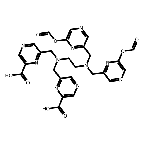 O=COc1cncc(CN(CCN(Cc2cncc(C(=O)O)n2)Cc2cncc(C(=O)O)n2)Cc2cncc(OC=O)n2)n1